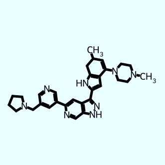 CC1C=C(N2CCN(C)CC2)c2cc(-c3n[nH]c4cnc(-c5cncc(CN6CCCC6)c5)cc34)[nH]c2C1